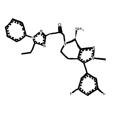 CCc1nc(C(=O)N2CCc3c(nn(C)c3-c3cc(F)cc(F)c3)[C@@H]2N)nn1-c1ccccc1